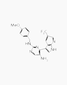 COc1ccc(CNc2ncc(N)c(-c3c[nH]c4ncc(C(F)(F)F)cc34)n2)cc1